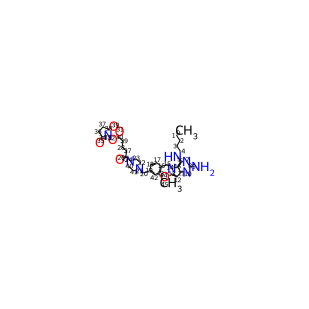 CCCCCNc1nc(N)nc2ccn(Cc3ccc(CN4CCN(C(=O)CCCC(=O)ON5C(=O)CCC5=O)CC4)cc3OC)c12